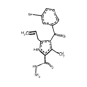 C=Cc1[nH]c(C(=O)NN)c(C)c1C(=O)c1cccc(Br)c1